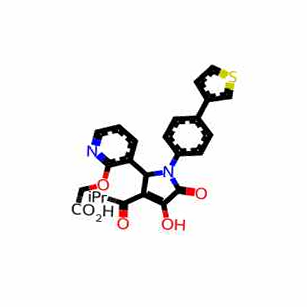 CC(C)C(=O)C1=C(O)C(=O)N(c2ccc(-c3ccsc3)cc2)C1c1cccnc1OCC(=O)O